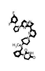 CN(Cc1ccccc1N1CCC(=O)NC1=O)C1CCN(c2cccc(-c3cnn4ccc(N5CCC[C@@H]5c5ccc(F)cc5F)nc34)n2)CC1